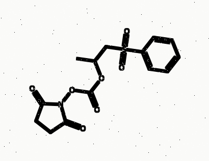 CC(CS(=O)(=O)c1ccccc1)OC(=O)ON1C(=O)CCC1=O